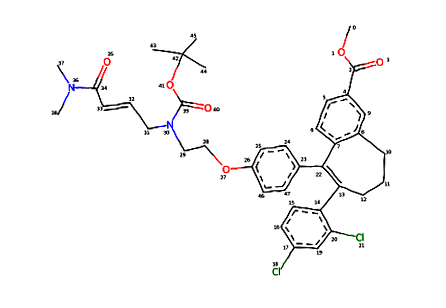 COC(=O)c1ccc2c(c1)CCCC(c1ccc(Cl)cc1Cl)=C2c1ccc(OCCN(CC=CC(=O)N(C)C)C(=O)OC(C)(C)C)cc1